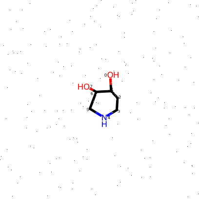 OC1CCNCC1O